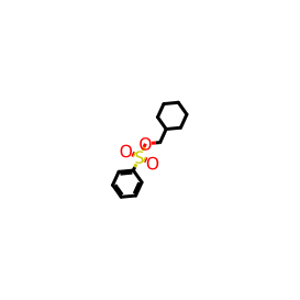 O=S(=O)(OCC1CCCCC1)c1ccccc1